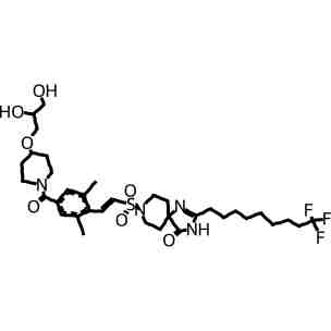 Cc1cc(C(=O)N2CCC(OCC(O)CO)CC2)cc(C)c1C=CS(=O)(=O)N1CCC2(CC1)N=C(CCCCCCCCC(F)(F)F)NC2=O